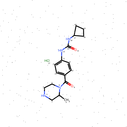 CC1CNCCN1C(=O)c1ccc(NC(=O)NC2CCC2)cc1.Cl